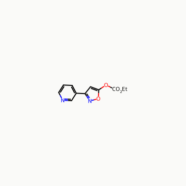 CCOC(=O)Oc1cc(-c2cccnc2)no1